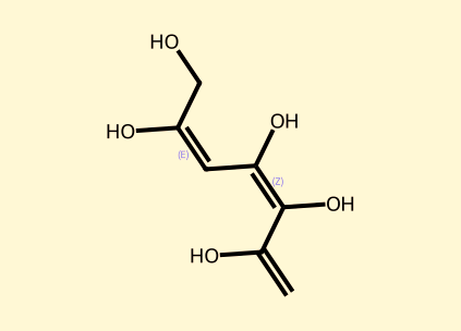 C=C(O)/C(O)=C(O)\C=C(\O)CO